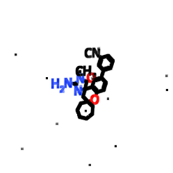 [C-]#[N+]c1cccc(-c2ccc3c(c2)C2(CC4(CCCCCC4)O3)N=C(N)N(C)C2=O)c1